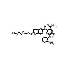 CCOCCOCCOc1ccc2cc(Nc3nc(NC4CCCCC4N)c(F)cc3C(N)=O)ccc2n1